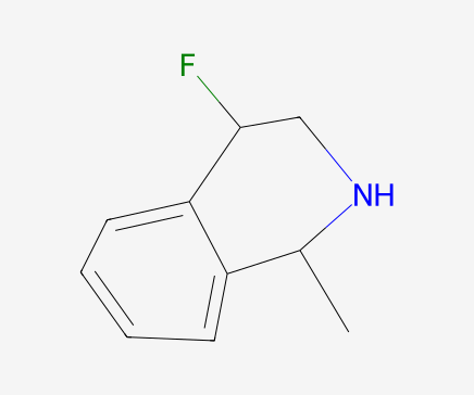 CC1NCC(F)c2ccccc21